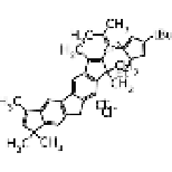 CCC1C=C(C(C)(C)C)C=[C]1[Zr+2]([C]1=C(C)c2cc3c(cc2C1(C)C)Cc1cc2c(cc1-3)C(C)=CC2(C)C)=[C](C)C.[Cl-].[Cl-]